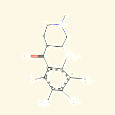 Bc1c(B)c(Br)c(C(=O)C2CCN(C)CC2)c(C(=O)O)c1B